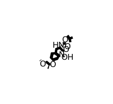 COC[C@H](C)Oc1ccc2c(c1)N(O)C(=O)[C@@H](NC(=O)OC(C)(C)C)C2